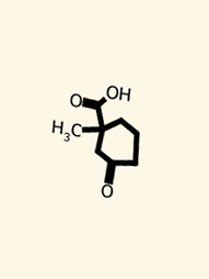 CC1(C(=O)O)CCCC(=O)C1